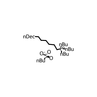 CCCCCCCCCCCCCCCC[P+](CCCC)(CCCC)CCCC.CCCCS(=O)(=O)[O-]